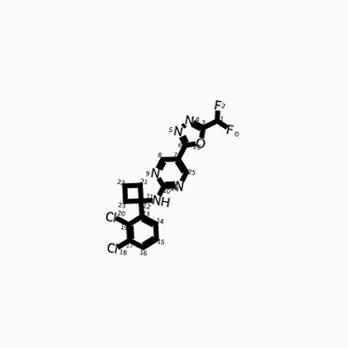 FC(F)c1nnc(-c2cnc(NC3(c4cccc(Cl)c4Cl)CCC3)nc2)o1